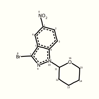 O=[N+]([O-])c1ccc2c(c1)c(Br)nn2C1CCCCO1